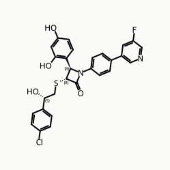 O=C1[C@H](SC[C@@H](O)c2ccc(Cl)cc2)[C@@H](c2ccc(O)cc2O)N1c1ccc(-c2cncc(F)c2)cc1